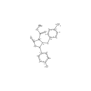 CC(C)(C)OC(=O)N1C(=O)OC(c2ccc(Cl)nc2)C1Cc1ccc(C(F)(F)F)cc1